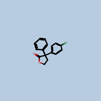 O=C1OCCC1(c1ccccc1)c1ccc(Cl)cc1